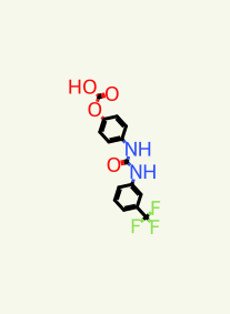 O=C(Nc1ccc(OC(=O)O)cc1)Nc1cccc(C(F)(F)F)c1